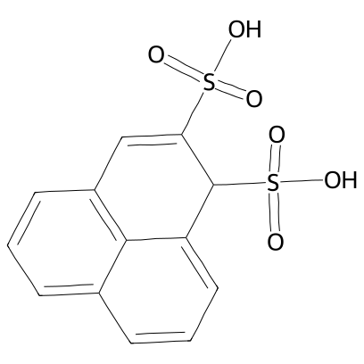 O=S(=O)(O)C1=Cc2cccc3cccc(c23)C1S(=O)(=O)O